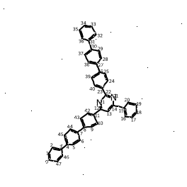 c1ccc(-c2ccc(-c3ccc(-c4cc(-c5ccccc5)nc(-c5ccc(-c6ccc(-c7ccccc7)cc6)cc5)n4)cc3)cc2)cc1